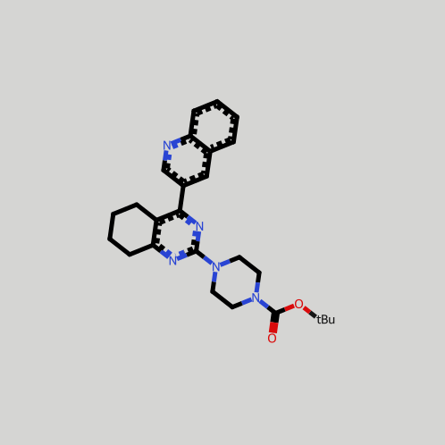 CC(C)(C)OC(=O)N1CCN(c2nc3c(c(-c4cnc5ccccc5c4)n2)CCCC3)CC1